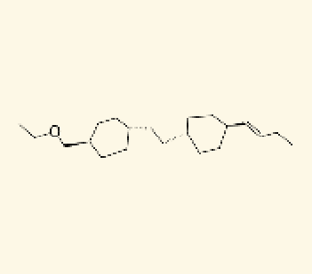 CCC=C[C@H]1CC[C@H](CC[C@H]2CC[C@H](COCC)CC2)CC1